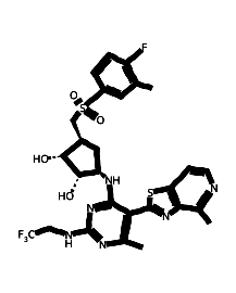 Cc1cc(S(=O)(=O)C[C@H]2C[C@@H](Nc3nc(NCC(F)(F)F)nc(C)c3-c3nc4c(C)nccc4s3)[C@H](O)[C@@H]2O)ccc1F